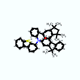 CC1(C)CC(C)(C)c2cc(-c3ccccc3N(c3ccc4c(c3)C(C)(C)c3ccccc3-4)c3cccc4c3sc3ccccc34)ccc21